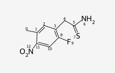 Cc1cc(CC(N)=S)c(F)cc1[N+](=O)[O-]